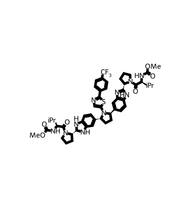 COC(=O)N[C@H](C(=O)N1CCC[C@H]1c1nc2cc([C@H]3CC[C@H](c4ccc5c(c4)NC([C@@H]4CCCN4C(=O)[C@@H](NC(=O)OC)C(C)C)N5)N3c3cnc(-c4ccc(C(F)(F)F)cc4)s3)ccc2[nH]1)C(C)C